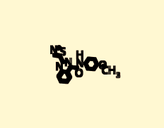 CO[C@H]1CC[C@H](NC(=O)c2nc(-c3cncs3)nc3ccccc23)CC1